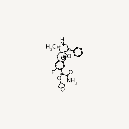 C[C@@H]1NC[C@@H](c2ccccc2)S(=O)(=O)C1Cc1cc(F)c([C@@H](OC2COC2)C(N)=O)cc1F